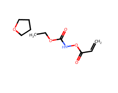 C1CCOC1.C=CC(=O)ONC(=O)OCC